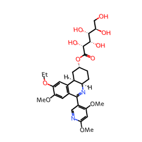 CCOc1cc2c(cc1OC)C(c1cnc(OC)cc1OC)=N[C@@H]1CC[C@@H](OC(=O)[C@H](O)[C@@H](O)[C@H](O)[C@H](O)CO)C[C@H]21